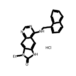 CCn1c(=O)[nH]c2cc3c(NCc4cccc5ccccc45)ncnc3cc21.Cl